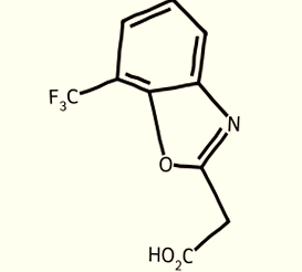 O=C(O)Cc1nc2cccc(C(F)(F)F)c2o1